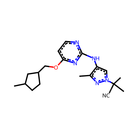 Cc1nn(C(C)(C)C#N)cc1Nc1nccc(OCC2CCC(C)C2)n1